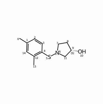 Cc1ccc(SN2CC[C@H](O)C2)c(C)c1